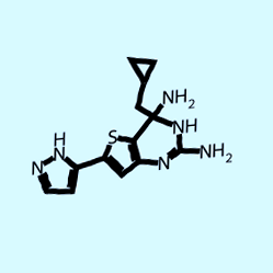 NC1=Nc2cc(-c3ccn[nH]3)sc2C(N)(CC2CC2)N1